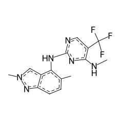 CNc1nc(Nc2c(C)ccc3nn(C)cc23)ncc1C(F)(F)F